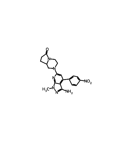 Cn1nc(N)c2c(-c3ccc([N+](=O)[O-])cc3)cc(N3CCN4C(=O)CCC4C3)nc21